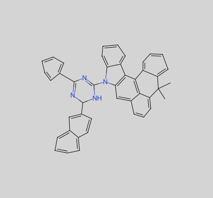 CC1(C)c2ccccc2-c2c3c1cccc3cc1c2c2ccccc2n1C1=NC(c2ccccc2)=NC(c2ccc3ccccc3c2)N1